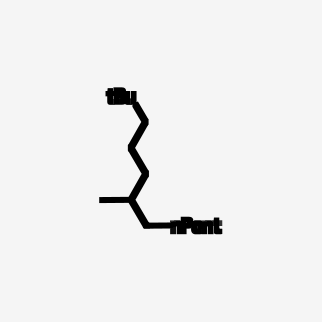 [CH2]CCCCCC(C)CCCC(C)(C)C